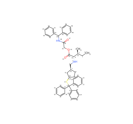 CC[C@H](C)[C@H](NC[C@H]1CC[C@@H](SC(c2ccccc2)(c2ccccc2)c2ccccc2)C1)C(=O)OCC(=O)NC(c1ccccc1)c1ccccc1